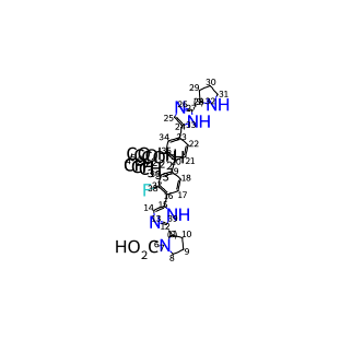 CC(=O)O.CC(=O)O.CC(=O)O.O=C(O)N1CCC[C@H]1c1ncc(-c2ccc(-c3ccc(-c4cnc([C@@H]5CCCN5)[nH]4)cc3)cc2F)[nH]1